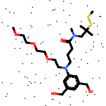 COCCOCCOCCN(CCCC(=O)N(C)CC(C)(C)SSC)c1cc(CO)cc(CO)c1